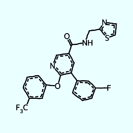 O=C(NCc1nccs1)c1cnc(Oc2cccc(C(F)(F)F)c2)c(-c2cccc(F)c2)c1